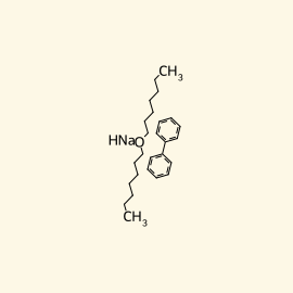 CCCCCCCOCCCCCCC.[NaH].c1ccc(-c2ccccc2)cc1